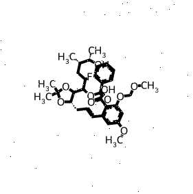 COCOc1cc(OC)cc(/C=C/C[C@@H]2OC(C)(C)OC2C(OC(=O)c2ccccc2)C(F)C[C@H](C)[C@H](C)O)c1C(=O)O